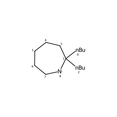 CCCCC1(CCCC)CCCCC[N]1